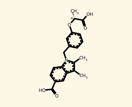 Cc1c(C)n(Cc2cccc(O[C@H](C)C(=O)O)c2)c2ccc(C(=O)O)cc12